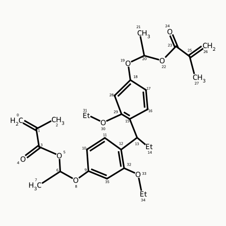 C=C(C)C(=O)OC(C)Oc1ccc(C(CC)c2ccc(OC(C)OC(=O)C(=C)C)cc2OCC)c(OCC)c1